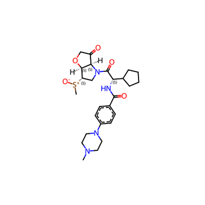 CN1CCN(c2ccc(C(=O)N[C@H](C(=O)N3C[C@H]([S+](C)[O-])[C@H]4OCC(=O)[C@H]43)C3CCCC3)cc2)CC1